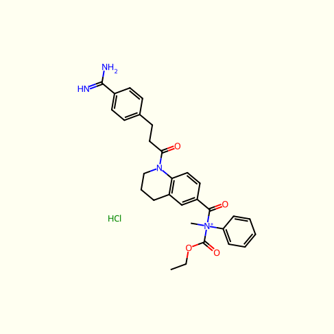 CCOC(=O)[N+](C)(C(=O)c1ccc2c(c1)CCCN2C(=O)CCc1ccc(C(=N)N)cc1)c1ccccc1.Cl